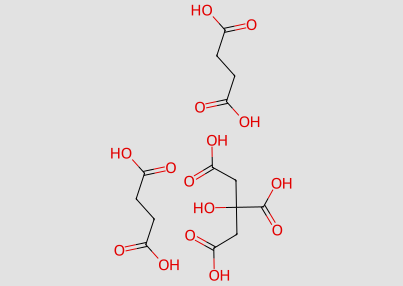 O=C(O)CC(O)(CC(=O)O)C(=O)O.O=C(O)CCC(=O)O.O=C(O)CCC(=O)O